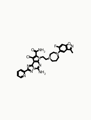 Cc1noc2cc(F)c(N3CCCN(CCn4c(C(N)=O)c(Cl)c5c4nc(N)n4nc(-c6ccccn6)nc54)CC3)cc12